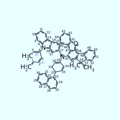 C=C/C=C\C(=C/C)n1c2ccccc2c2ccc(N(C3=CCC(c4cccc5ccccc45)C=C3)c3cc4c(c5oc6ccccc6c35)-c3ccccc3C4(C)C)cc21